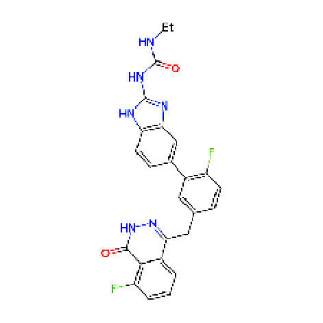 CCNC(=O)Nc1nc2cc(-c3cc(Cc4n[nH]c(=O)c5c(F)cccc45)ccc3F)ccc2[nH]1